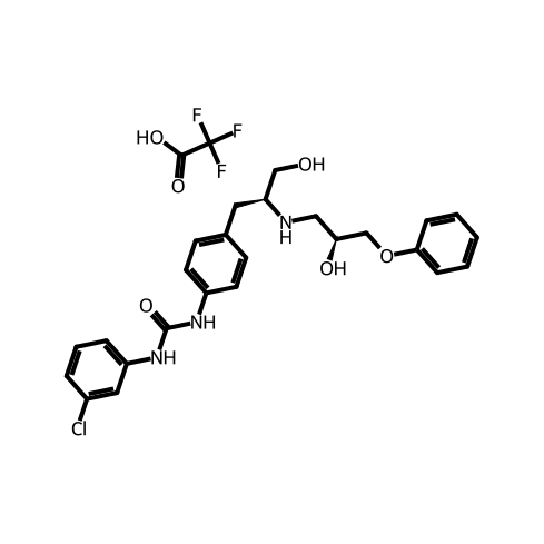 O=C(Nc1ccc(C[C@@H](CO)NC[C@H](O)COc2ccccc2)cc1)Nc1cccc(Cl)c1.O=C(O)C(F)(F)F